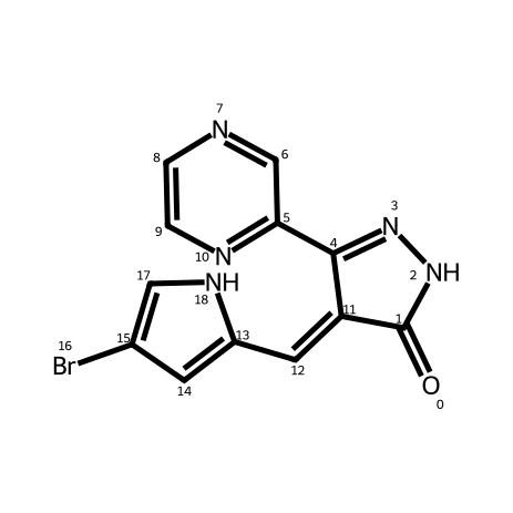 O=C1NN=C(c2cnccn2)/C1=C\c1cc(Br)c[nH]1